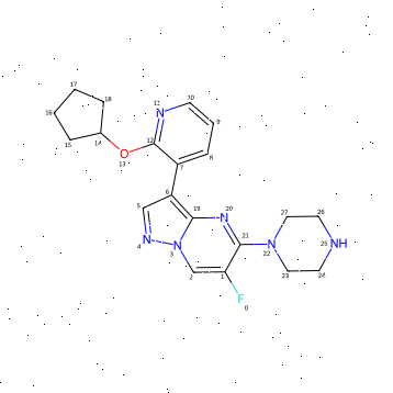 Fc1cn2ncc(-c3cccnc3OC3CCCC3)c2nc1N1CCNCC1